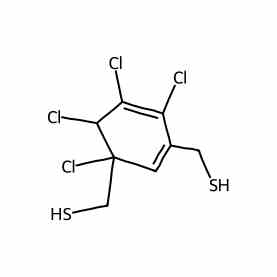 SCC1=CC(Cl)(CS)C(Cl)C(Cl)=C1Cl